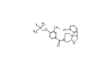 Cc1cc(C(=O)N2CCC3(c4ncccc4Cl)OCOC3C2)ccc1OCC(C)(C)F